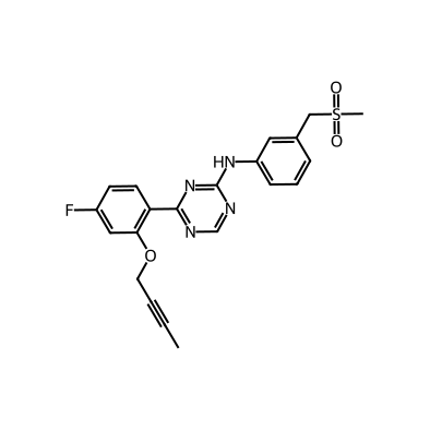 CC#CCOc1cc(F)ccc1-c1ncnc(Nc2cccc(CS(C)(=O)=O)c2)n1